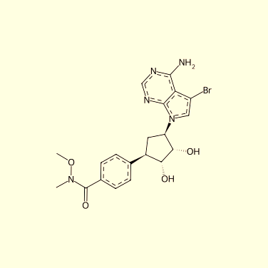 CON(C)C(=O)c1ccc([C@H]2C[C@@H](n3cc(Br)c4c(N)ncnc43)[C@H](O)[C@@H]2O)cc1